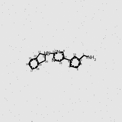 NCc1cccc(-c2cnc(NC3Cc4ccccc4C3)nc2)c1